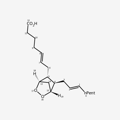 CCCCCC=CC[C@@H]1[C@@H](CC=CCCCC(=O)O)[C@H]2C[C@H]1OO2